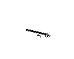 CCCCCCCCCCCCCCCCS(=O)(=O)[O-].[Ag+]